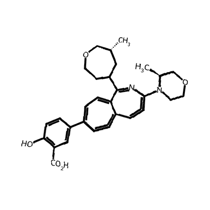 C[C@H]1COCCC(C2=NC(N3CCOC[C@@H]3C)=C=CC3=C=CC(c4ccc(O)c(C(=O)O)c4)=CC=C32)C1